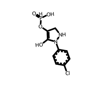 O=[PH](O)OC1=C(O)N(c2ccc(Cl)cc2)NC1